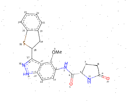 COc1c(NC(=O)[C@@H]2CCC(=O)N2)ccc2[nH]nc(C3Cc4ccccc4S3)c12